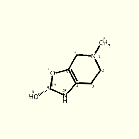 CN1CCC2=C(C1)O[C@@H](O)N2